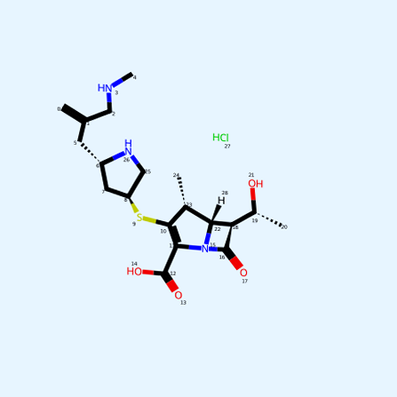 C=C(CNC)C[C@H]1C[C@H](SC2=C(C(=O)O)N3C(=O)[C@H]([C@@H](C)O)[C@H]3[C@H]2C)CN1.Cl